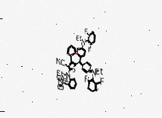 CCN(c1ccccc1[N+](=O)O)c1sc(C(=C2C=CC(=[N+](CC)c3c(F)cccc3F)C=C2)c2ccc(N(CC)c3c(F)cccc3F)cc2)c(-c2ccccc2)c1C#N